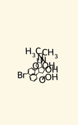 CC(C)n1cc2c(n1)[C@]1(O)[C@H](O)[C@H](C(=O)O)[C@@H](c3ccccc3)[C@]1(c1ccc(Br)cc1)O2